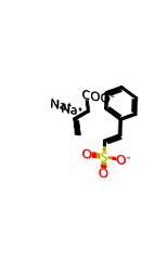 C=CCC(=O)[O-].O=S(=O)([O-])C=Cc1ccccc1.[Na+].[Na+]